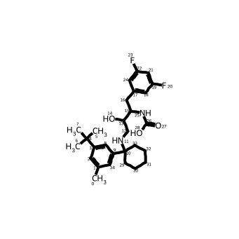 Cc1cc(C(C)(C)C)cc(C2(NCC(O)C(Cc3cc(F)cc(F)c3)NC(=O)O)CCCCC2)c1